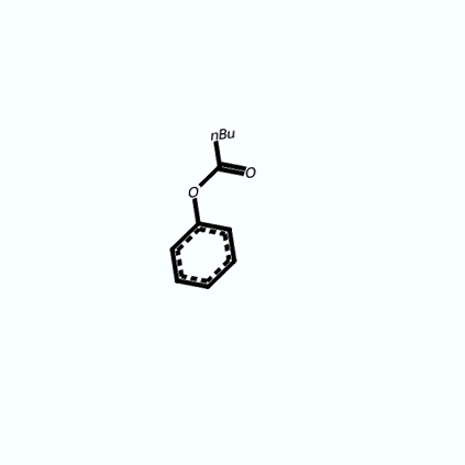 C[CH]CCC(=O)Oc1ccccc1